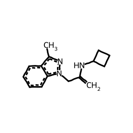 C=C(Cn1nc(C)c2ccccc21)NC1CCC1